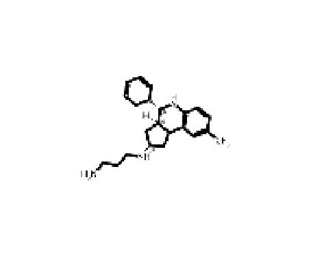 NCCCN[C@H]1CC2c3cc(C(F)(F)F)ccc3N[C@@H](C3C=CC=CC3)[C@@H]2C1